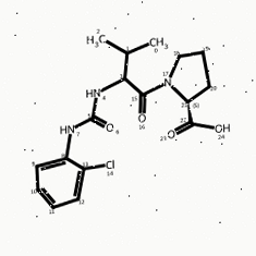 CC(C)C(NC(=O)Nc1ccccc1Cl)C(=O)N1CCC[C@H]1C(=O)O